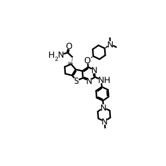 CN1CCN(c2ccc(Nc3nc(O[C@H]4CC[C@H](N(C)C)CC4)c4c5c(sc4n3)CC[C@@H]5CC(N)=O)cc2)CC1